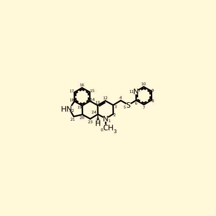 CN1CC(CSc2ccccn2)C=C2c3cccc4c3C(CN4)C[C@H]21